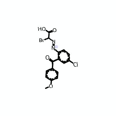 COc1ccc(C(=O)c2cc(Cl)ccc2/N=N/C(Br)C(=O)O)cc1